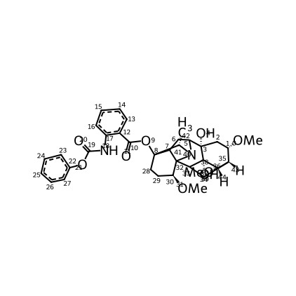 CO[C@H]1C[C@]2(O)C3CC4C5(OC(=O)c6ccccc6NC(=O)Oc6ccccc6)CC[C@H](OC)C4(C4C[C@H]1[C@H](OC)[C@@]42O)N3[C@H]5C